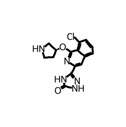 O=c1[nH]nc(-c2cc3cccc(Cl)c3c(O[C@H]3CCNC3)n2)[nH]1